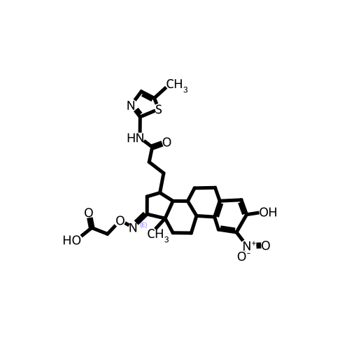 Cc1cnc(NC(=O)CCC2C/C(=N\OCC(=O)O)C3(C)CCC4c5cc([N+](=O)[O-])c(O)cc5CCC4C23)s1